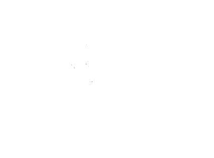 CC(=O)Cc1nsc(NC(=O)c2cc(-c3cccc(C(F)(F)F)c3)co2)n1